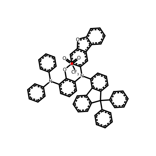 O=S(=O)(Oc1c(N(c2ccccc2)c2ccccc2)cccc1N(c1ccc2oc3ccccc3c2c1)c1cccc2c1-c1ccccc1C2(c1ccccc1)c1ccccc1)C(F)(F)F